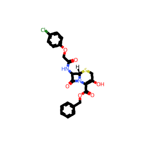 O=C(COc1ccc(Cl)cc1)NC1C(=O)N2C(C(=O)OCc3ccccc3)=C(O)CS[C@@H]12